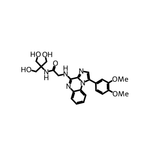 COc1ccc(-c2cnc3c(NCC(=O)NC(CO)(CO)CO)nc4ccccc4n23)cc1OC